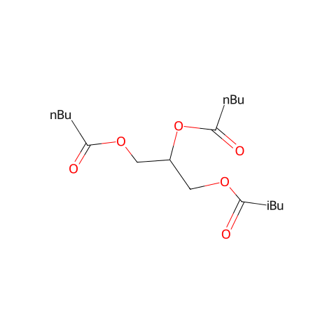 CCCCC(=O)OCC(COC(=O)C(C)CC)OC(=O)CCCC